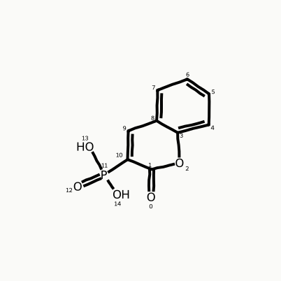 O=c1oc2ccccc2cc1P(=O)(O)O